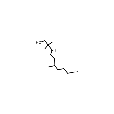 CC(C)CCCC(C)CCNC(C)(C)CO